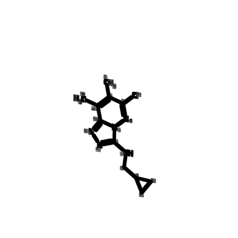 Cc1c(Cl)nn2c(NCC3CC3)nnc2c1C